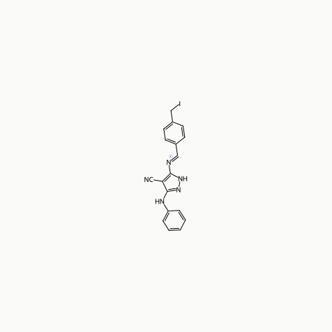 N#Cc1c(Nc2ccccc2)n[nH]c1/N=C/c1ccc(CI)cc1